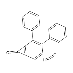 O=P.O=c1c2ccc(-c3ccccc3)c(-c3ccccc3)c12